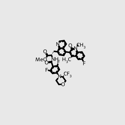 COC(=O)[C@H](Cc1ccc(-c2c(C)c3cc(F)ccc3n(C)c2=O)c2cccnc12)NC(=O)c1c(F)cc(N2CCOC[C@@H]2C(F)(F)F)cc1F